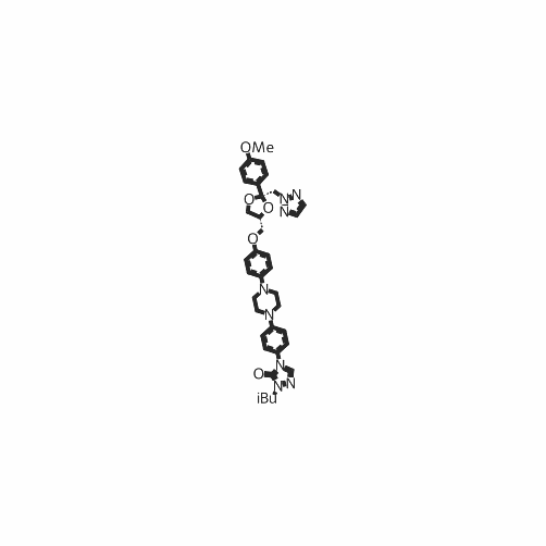 CCC(C)n1ncn(-c2ccc(N3CCN(c4ccc(OC[C@@H]5CO[C@@](Cn6nccn6)(c6ccc(OC)cc6)O5)cc4)CC3)cc2)c1=O